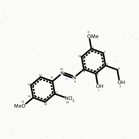 COc1cc(CO)c(O)c(/N=N/c2ccc(OC)cc2[N+](=O)[O-])c1